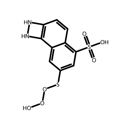 O=S(=O)(O)c1cc(SOOO)cc2c1ccc1[nH][nH]c12